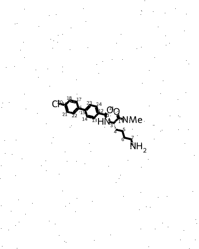 CNC(=O)[C@H](CCCCN)NC(=O)c1ccc(-c2ccc(Cl)cc2)cc1